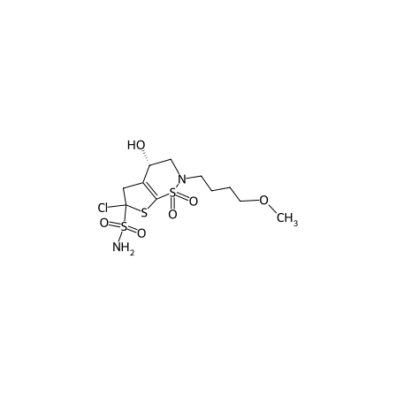 COCCCCN1C[C@@H](O)C2=C(SC(Cl)(S(N)(=O)=O)C2)S1(=O)=O